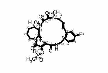 CN1C/C=C/c2cc(F)ccc2CNC(=O)c2nc3n(c(=O)c2OS(C)(=O)=O)CCCCC3N(C)C(=O)C1=O